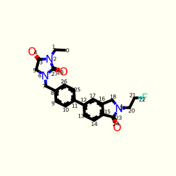 CCN1C(=O)CN(Cc2ccc(-c3ccc4c(c3)CN(CCF)C4=O)cc2)C1=O